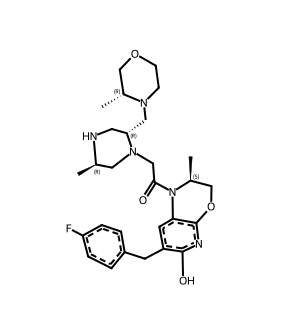 C[C@@H]1CN(CC(=O)N2c3cc(Cc4ccc(F)cc4)c(O)nc3OC[C@@H]2C)[C@@H](CN2CCOC[C@H]2C)CN1